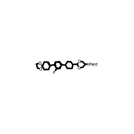 CCCCCC1COC(C2CCC(c3ccc(C4=CCC5(CC4)OCCO5)c(F)c3)CC2)OC1